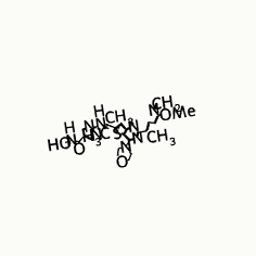 C=N/C(=C\C=C(/C)c1nc(N2CCOCC2)c2sc(C(C)(C)Nc3ncc(C(=O)NO)cn3)cc2n1)OC